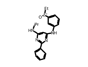 CC[S+]([O-])c1cccc(Nc2cc(NC(C)C)nc(-c3ccccc3)n2)c1